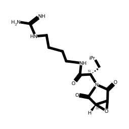 CC(C)C[C@@H](C(=O)NCCCCNC(=N)N)N1C(=O)C2O[C@@H]2C1=O